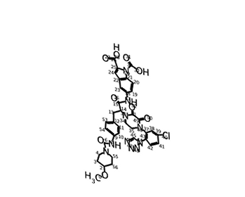 COC1CCN(C(=O)Nc2ccc(CC(C(=O)Nc3ccc4c(c3)cc(C(=O)O)n4C(=O)O)N3CCN(c4cc(Cl)ccc4-n4cnnn4)C(=O)C3=O)cc2)CC1